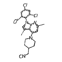 [C-]#[N+]CC1CCN(c2cc(C)nc3c2c(C)cn3-c2c(Cl)cc(Cl)cc2Cl)CC1